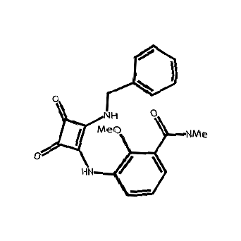 CNC(=O)c1cccc(Nc2c(NCc3ccccc3)c(=O)c2=O)c1OC